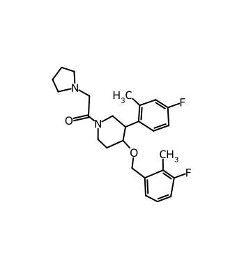 Cc1cc(F)ccc1C1CN(C(=O)CN2CCCC2)CCC1OCc1cccc(F)c1C